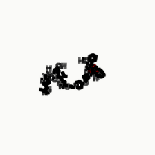 Cc1ncsc1-c1ccc([C@H](C)NC(=O)[C@@H]2C[C@@H](O)CN2C(=O)[C@H](c2cc(OCCN3CCC(OC4CC(Oc5cc(N6C7CC[C@@H]6CN(c6cc(-c8ccccc8O)nnc6N)C7)ccn5)C4)CC3)no2)C(C)C)nc1